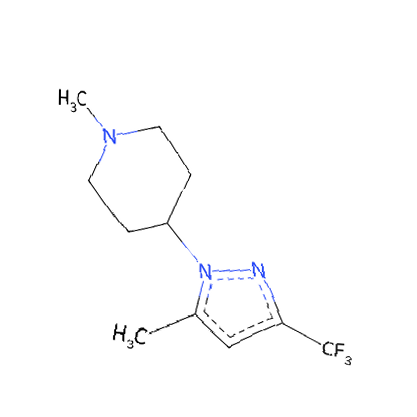 Cc1cc(C(F)(F)F)nn1C1CCN(C)CC1